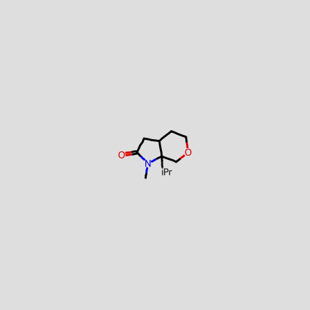 CC(C)C12COCCC1CC(=O)N2C